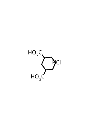 Cl.O=C(O)C1CCCC(C(=O)O)C1